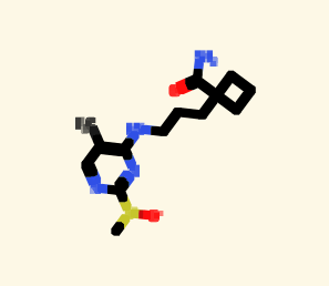 C[S+]([O-])c1ncc(C(F)(F)F)c(NCCCC2(C(N)=O)CCC2)n1